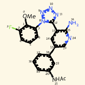 COc1c(F)cccc1-n1nnnc1-c1cc(-c2cccc(NC(C)=O)c2)cnc1N